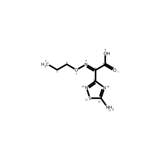 CCCO/N=C(/C(=O)O)c1nsc(N)n1